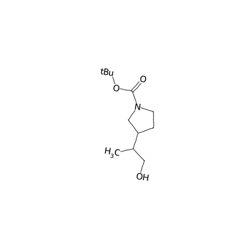 CC(CO)C1CCN(C(=O)OC(C)(C)C)C1